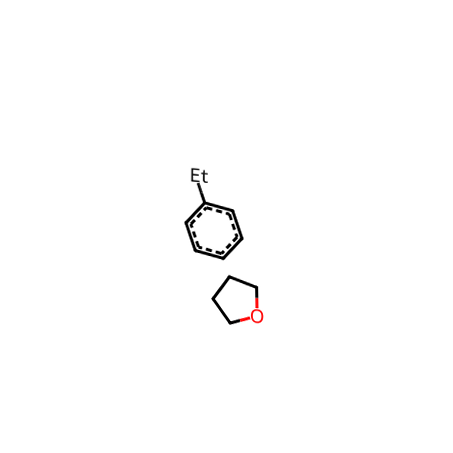 C1CCOC1.CCc1ccccc1